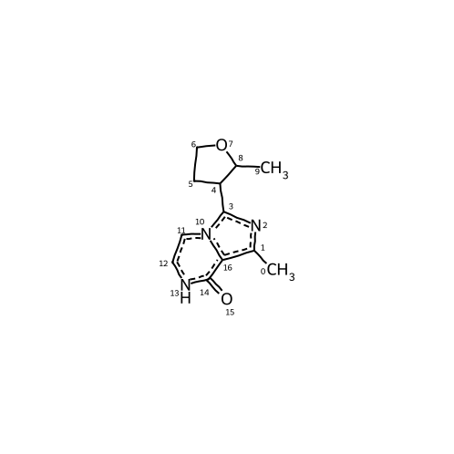 Cc1nc(C2CCOC2C)n2cc[nH]c(=O)c12